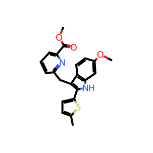 COC(=O)c1cccc(Cc2c(-c3ccc(C)s3)[nH]c3cc(OC)ccc23)n1